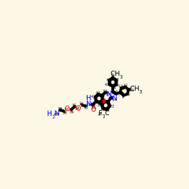 Cc1ccc(-c2c(C3=CCC(C)C=C3)nc(-c3ccc(C(F)(F)F)cc3)n2Cc2ccc(C(=O)NCCOCCOCCN)cc2)cc1